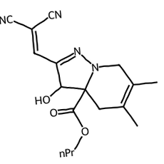 CCCOC(=O)C12CC(C)=C(C)CN1N=C(C=C(C#N)C#N)C2O